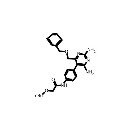 CCCCOCC(=O)Nc1ccc(-c2c(N)nc(N)nc2COCc2ccccc2)cc1